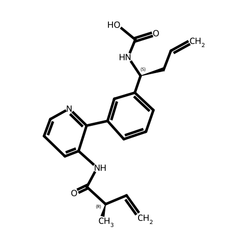 C=CC[C@H](NC(=O)O)c1cccc(-c2ncccc2NC(=O)[C@H](C)C=C)c1